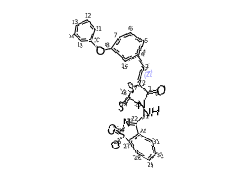 O=C1/C(=C/c2cccc(Oc3ccccc3)c2)SC(=S)N1NC1=NS(=O)(=O)c2ccccc21